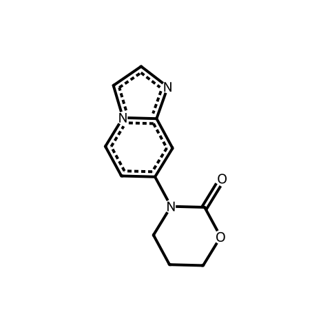 O=C1OCCCN1c1ccn2ccnc2c1